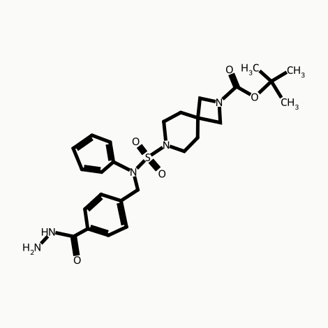 CC(C)(C)OC(=O)N1CC2(CCN(S(=O)(=O)N(Cc3ccc(C(=O)NN)cc3)c3ccccc3)CC2)C1